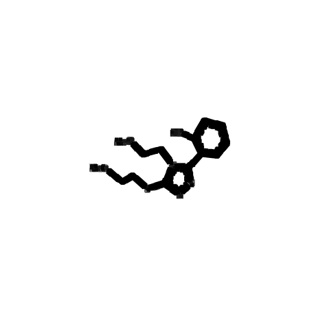 COCCSc1nnc(-c2ccccc2O)n1CCOC